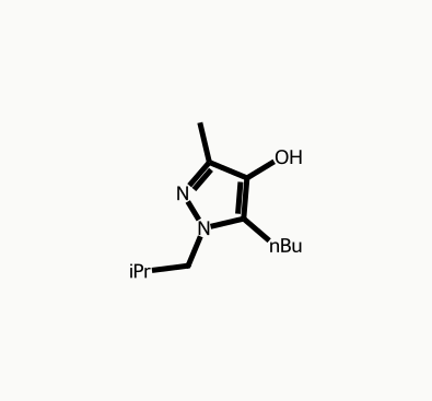 CCCCc1c(O)c(C)nn1CC(C)C